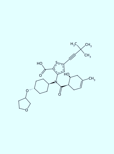 CC1=CC[C@@H](C(=O)N(c2cc(C#CC(C)(C)C)sc2C(=O)O)[C@H]2CC[C@H](OC3CCOC3)CC2)[C@@H](O)C1